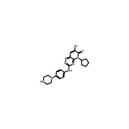 CC(=O)c1cc2nnc(Nc3ccc(N4CCNCC4)cc3)nc2n(C2CCCC2)c1=O